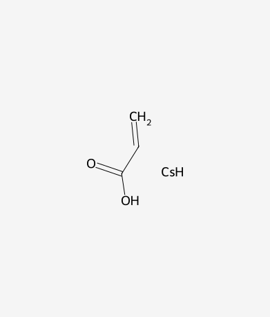 C=CC(=O)O.[CsH]